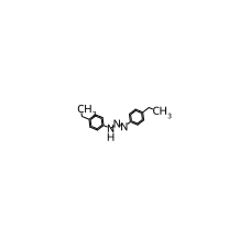 CCc1ccc(N=NNc2ccc(CC)cc2)cc1